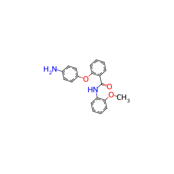 COc1ccccc1NC(=O)c1ccccc1Oc1ccc(N)cc1